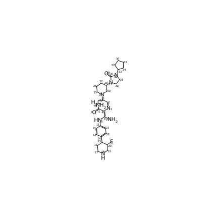 C=C(/C=N\C(C(N)=O)=C(/N)Nc1ccc(C2CCNCC2F)cc1)N1CCCC(N2CCN(C3CCCC3)C2=O)C1